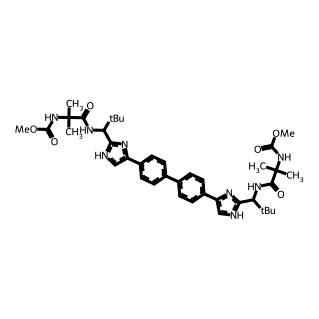 COC(=O)NC(C)(C)C(=O)NC(c1nc(-c2ccc(-c3ccc(-c4c[nH]c(C(NC(=O)C(C)(C)NC(=O)OC)C(C)(C)C)n4)cc3)cc2)c[nH]1)C(C)(C)C